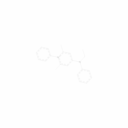 CCN(c1ccccc1)c1cc(C)[n+](-c2ccccc2)c(C)c1